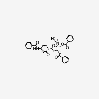 [N-]=[N+]=N[C@]1(COC(=O)c2ccccc2)O[C@@H](n2ccc(NC(=O)c3ccccc3)nc2=O)C[C@@H]1OC(=O)c1ccccc1